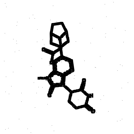 Cn1c(=O)n(C2CCC(=O)NC2=O)c2ccc(C3CC4CCC(C3)N4CC(=O)O)cc21